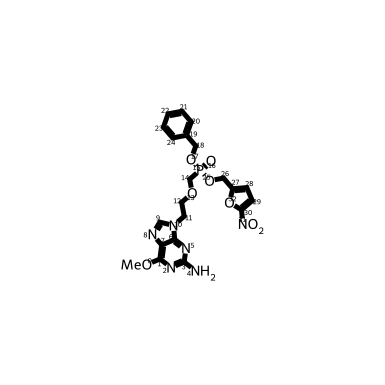 COc1nc(N)nc2c1ncn2CCOCP(=O)(OCc1ccccc1)OCc1ccc([N+](=O)[O-])o1